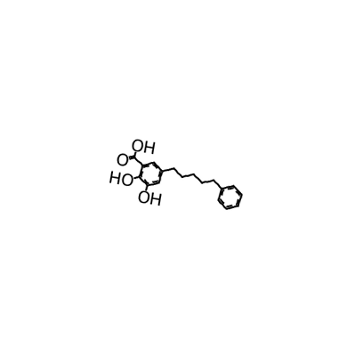 O=C(O)c1cc(CCCCCc2ccccc2)cc(O)c1O